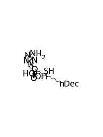 CCCCCCCCCCCCCCCC[C@@H](S)CC[C@H](O[C@H](C)Cn1cnc2c(N)ncnc21)P(=O)(O)O